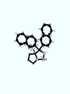 C[C@]12CCCN1BOC2(c1ccc2ccccc2c1)c1ccc2ccccc2c1